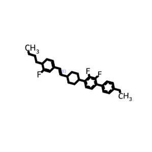 CCCCC1CC=C(/C=C/C2CCC(c3ccc(-c4ccc(CC)cc4)c(F)c3F)CC2)C=C1F